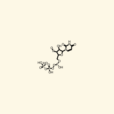 O=NC1C(COP(O)OOP(=O)(O)OP(=O)(O)O)OC(n2ccc(=O)[nH]c2=O)C1O